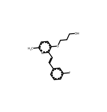 Cc1ccc(OCCCO)c(C=Cc2cccc(F)c2)n1